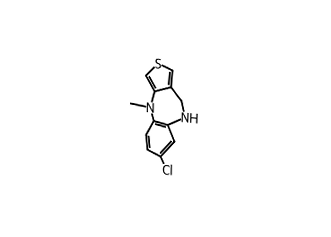 CN1c2cscc2CNc2cc(Cl)ccc21